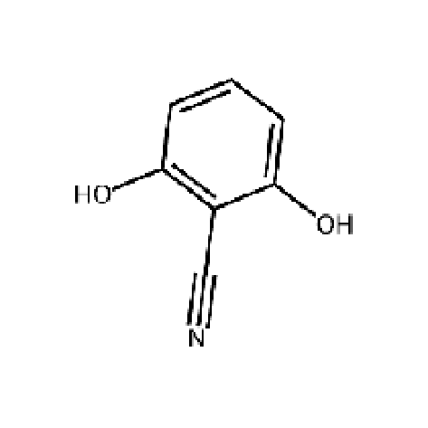 N#Cc1c(O)cccc1O